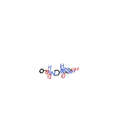 O=C(NC1CCN(C(=O)NOCc2ccccc2)CC1)[C@H]1CN[C@@H](O)CN1